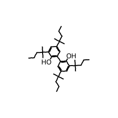 CCCC(C)(C)c1cc(-c2cc(C(C)(C)CCC)cc(C(C)(C)CCC)c2O)c(O)c(C(C)(C)CCC)c1